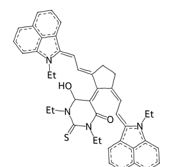 CCN1C(=O)/C(=C2C(=C/C=c3/c4cccc5cccc(c54)n3CC)\CCC\2=C/C=c2/c3cccc4cccc(c43)n2CC)C(O)N(CC)C1=S